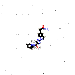 CC1CC2CC(C1)C(NC(=O)c1cnc(N3CCc4cc(C5CC5C(N)=O)ccc43)nc1C(F)(F)F)(C(=O)O)C2